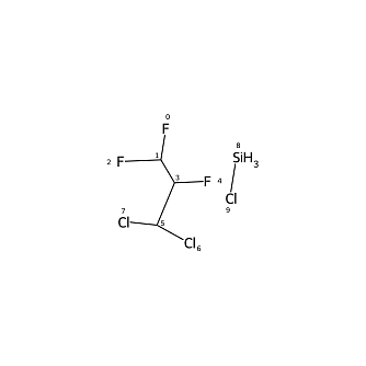 FC(F)C(F)C(Cl)Cl.[SiH3]Cl